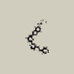 CCOc1ccc2c(c1)CN(c1nccc(-c3nccc(/C=C/c4ccncc4)n3)n1)C2